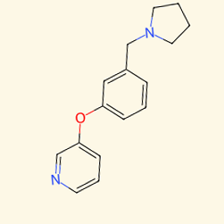 c1cncc(Oc2cccc(CN3CCCC3)c2)c1